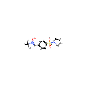 CC(C)(C)[N+]([O-])=Cc1ccc(S(=O)(=O)N2CCCC2)cc1